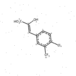 O=C(O)C(O)=Cc1ccc(Cl)c(C(F)(F)F)c1